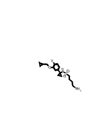 NCCCCS(=O)(=O)NC1(c2ccc(F)c(OCC3CC3)c2)CC1